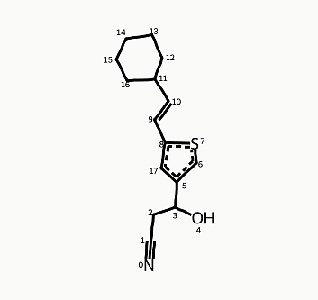 N#CCC(O)c1csc(/C=C/C2CCCCC2)c1